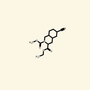 CCOC(=O)C1CC2CC(C#N)CCC2CN1C(=O)OC